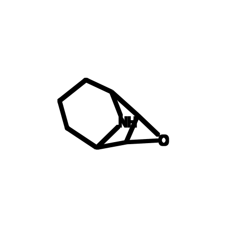 C1CC2NC(C1)C1OC21